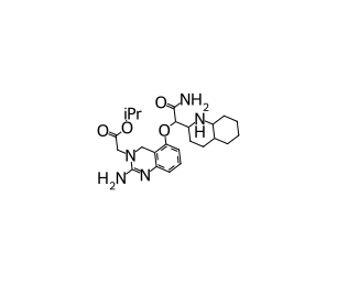 CC(C)OC(=O)CN1Cc2c(cccc2OC(C(N)=O)C2CCC3CCCCC3N2)N=C1N